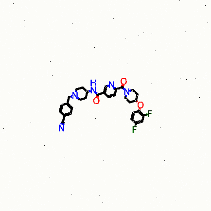 N#Cc1ccc(CN2CCC(NC(=O)c3ccc(C(=O)N4CCC(Oc5ccc(F)cc5F)CC4)nc3)CC2)cc1